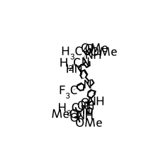 C=C(NC1=CC[C@@H]([C@H]2CC[C@H](C3=CC[C@H](NC(=O)[C@@H]4CCCN4C(O)[C@@H](NC(=O)OC)[C@@H](C)OC)C=C3)N2C2C=C[C@@H](C(F)(F)F)CC2)C=C1)C1CCCN1C[C@@H](NC(=O)OC)[C@@H](C)OC